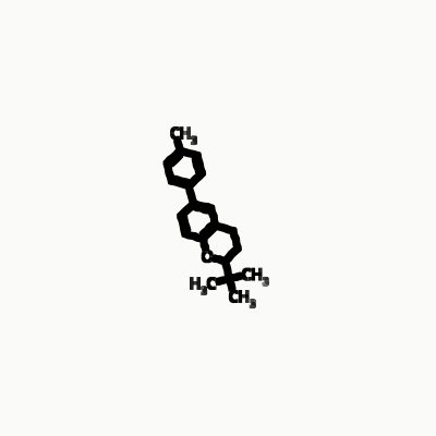 Cc1ccc(-c2ccc3c(c2)CCC(C(C)(C)C)O3)cc1